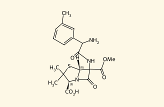 COC(=O)C1(NC(=O)C(N)c2cccc(C)c2)C(=O)N2[C@@H](C(=O)O)C(C)(C)S[C@@H]21